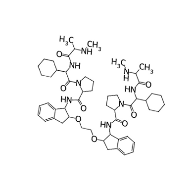 CNC(C)C(=O)NC(C(=O)N1CCCC1C(=O)NC1c2ccccc2CC1OCCOC1Cc2ccccc2C1NC(=O)C1CCCN1C(=O)C(NC(=O)C(C)NC)C1CCCCC1)C1CCCCC1